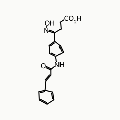 O=C(O)CCC(=NO)c1ccc(NC(=O)C=Cc2ccccc2)cc1